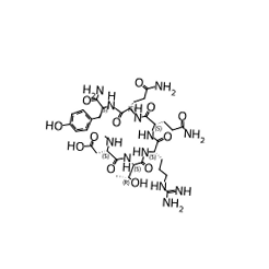 CN[C@@H](CC(=O)O)C(=O)N[C@H](C(=O)N[C@@H](CCCNC(=N)N)C(=O)N[C@@H](CCC(N)=O)C(=O)N[C@@H](CCC(N)=O)C(=O)N[C@@H](Cc1ccc(O)cc1)C(N)=O)[C@@H](C)O